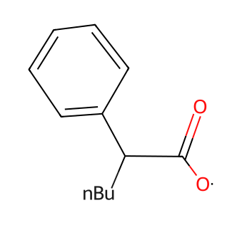 CCCCC(C([O])=O)c1ccccc1